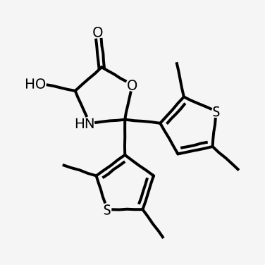 Cc1cc(C2(c3cc(C)sc3C)NC(O)C(=O)O2)c(C)s1